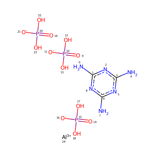 Nc1nc(N)nc(N)n1.O=P([O-])(O)O.O=P([O-])(O)O.O=P([O-])(O)O.[Al+3]